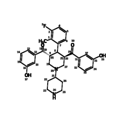 Cc1c(F)cccc1C1[C@@H](C(=O)c2cccc(O)c2)CN(C2CCNCC2)C[C@@H]1C(=O)c1cccc(O)c1